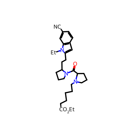 CCOC(=O)CCCCCN1CCCC1C(=O)N1CCCC1CCc1cc2ccc(C#N)cc2n1CC